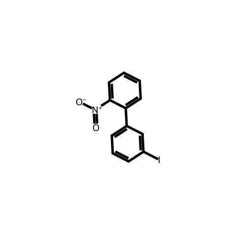 O=[N+]([O-])c1ccccc1-c1cccc(I)c1